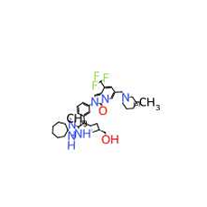 C[C@H]1CCCN(Cc2cc(C(F)(F)F)c3cn(-c4cccc([C@H](C5NNC6(CCCCCC6)N5C)[C@H]5C[C@H](CO)C5)c4)c(=O)n3c2)C1